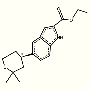 CCOC(=O)c1cc2cc([C@@H]3CCOC(C)(C)C3)ccc2[nH]1